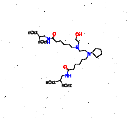 CCCCCCCCC(CCCCCCCC)CNC(=O)CCCCCN(CCO)CCN(CCCCCC(=O)NCC(CCCCCCCC)CCCCCCCC)C1CCCC1